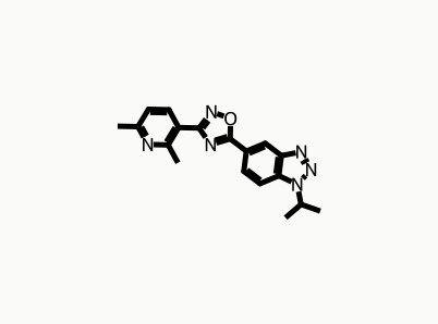 Cc1ccc(-c2noc(-c3ccc4c(c3)nnn4C(C)C)n2)c(C)n1